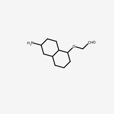 NC1CCC2C(CCCC2OCC=O)C1